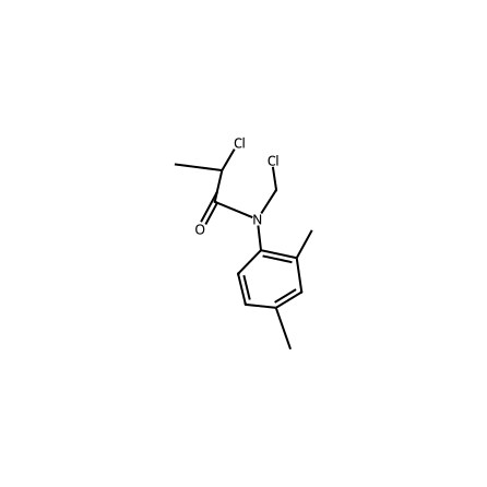 Cc1ccc(N(CCl)C(=O)C(C)Cl)c(C)c1